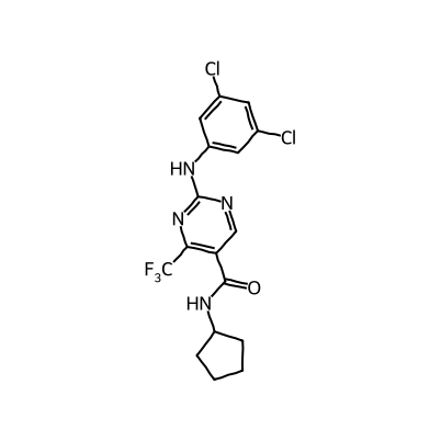 O=C(NC1CCCC1)c1cnc(Nc2cc(Cl)cc(Cl)c2)nc1C(F)(F)F